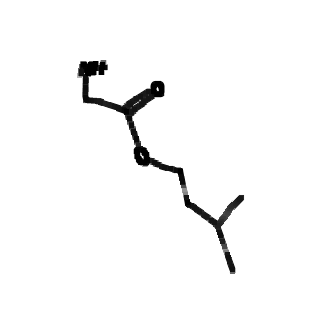 CC(C)CCOC(=O)C[NH]